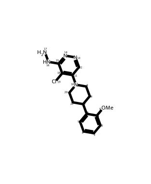 COc1ccccc1C1CCN(c2cnnc(NN)c2Cl)CC1